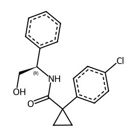 O=C(N[C@@H](CO)c1ccccc1)C1(c2ccc(Cl)cc2)CC1